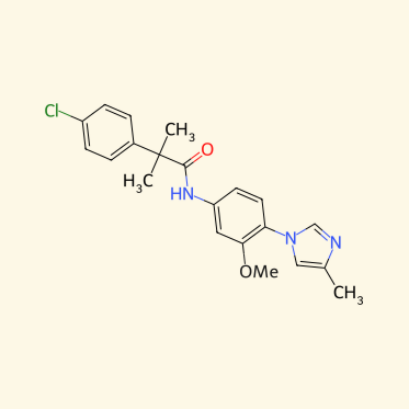 COc1cc(NC(=O)C(C)(C)c2ccc(Cl)cc2)ccc1-n1cnc(C)c1